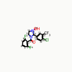 O=C(c1c(F)cccc1F)N1CCN(O)C1c1ccc(Cl)c(C(F)(F)F)c1